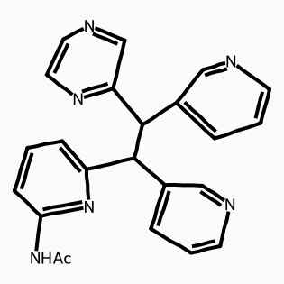 CC(=O)Nc1cccc(C(c2cccnc2)C(c2cccnc2)c2cnccn2)n1